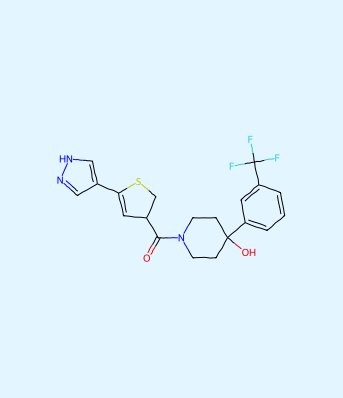 O=C(C1C=C(c2cn[nH]c2)SC1)N1CCC(O)(c2cccc(C(F)(F)F)c2)CC1